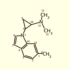 Cc1ccc2ccn(C3CC3N(C)C)c2c1